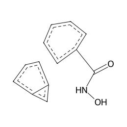 O=C(NO)c1ccccc1.c1cc2cc-2c1